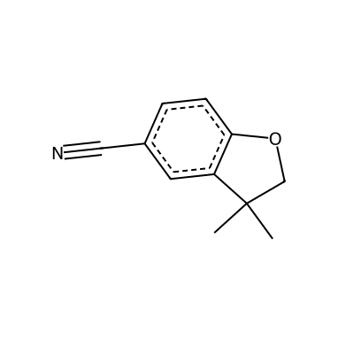 CC1(C)COc2ccc(C#N)cc21